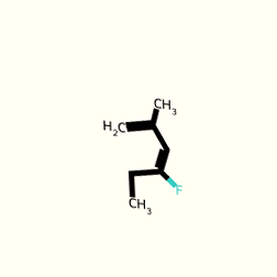 C=C(C)/C=C(/F)CC